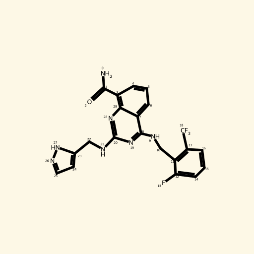 NC(=O)c1cccc2c(NCc3c(F)cccc3C(F)(F)F)nc(NCc3ccn[nH]3)nc12